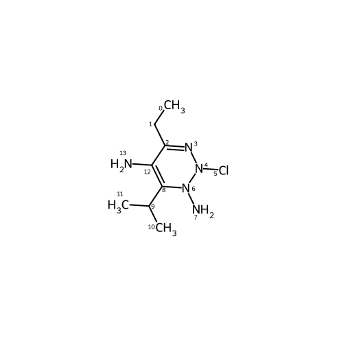 CCC1=NN(Cl)N(N)C(C(C)C)=C1N